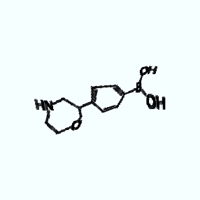 OB(O)c1ccc(C2CNCCO2)cc1